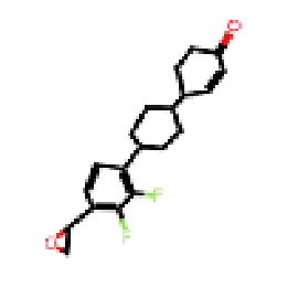 O=C1C=CC(C2CCC(c3ccc(C4CO4)c(F)c3F)CC2)CC1